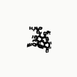 COC(=O)C1=C(C)NC(COC(N)=O)=C(C(=O)OC(C)C)[C@H]1c1cccc(Cl)c1Cl